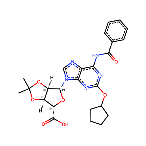 CC1(C)O[C@@H]2[C@H](O1)[C@@H](C(=O)O)O[C@H]2n1cnc2c(NC(=O)c3ccccc3)nc(OC3CCCC3)nc21